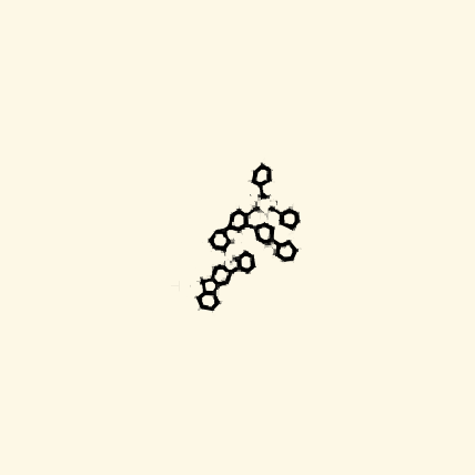 CC1(C)c2ccccc2-c2cc3c4ccccc4n(-c4cccc5c4oc4c(-c6ccc7c(c6)oc6ccccc67)c(-c6nc(-c7ccccc7)nc(-c7ccccc7)n6)ccc45)c3cc21